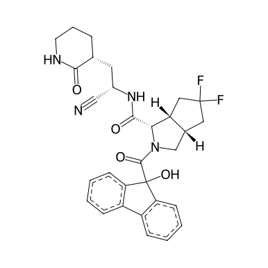 N#C[C@H](C[C@H]1CCCNC1=O)NC(=O)[C@@H]1[C@@H]2CC(F)(F)C[C@@H]2CN1C(=O)C1(O)c2ccccc2-c2ccccc21